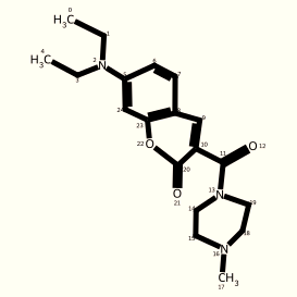 CCN(CC)c1ccc2cc(C(=O)N3CCN(C)CC3)c(=O)oc2c1